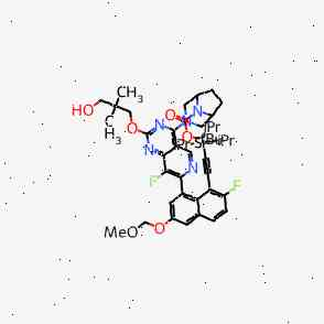 COCOc1cc(-c2ncc3c(N4CC5CCC(C4)N5C(=O)OC(C)(C)C)nc(OCC(C)(C)CO)nc3c2F)c2c(C#C[Si](C(C)C)(C(C)C)C(C)C)c(F)ccc2c1